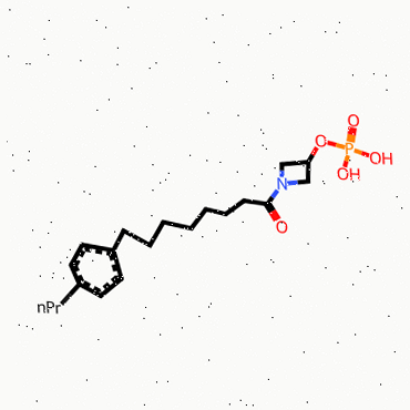 CCCc1ccc(CCCCCCCC(=O)N2CC(OP(=O)(O)O)C2)cc1